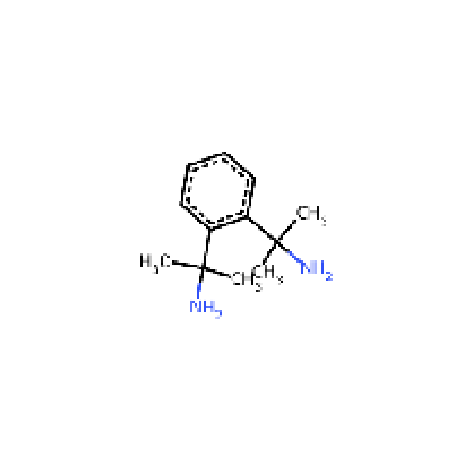 CC(C)(N)c1ccccc1C(C)(C)N